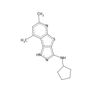 Cc1cc(C)c2c(n1)sc1c(NC3CCCC3)n[nH]c12